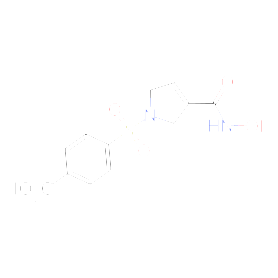 O=C(NO)C1=CCN(S(=O)(=O)c2ccc(C(=O)O)cc2)C1